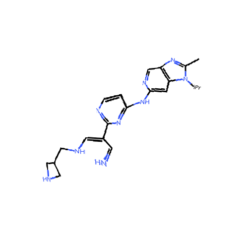 Cc1nc2cnc(Nc3ccnc(/C(C=N)=C/NCC4CNC4)n3)cc2n1C(C)C